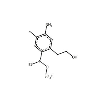 CCN(OS(=O)(=O)O)c1cc(C)c(N)cc1CCO